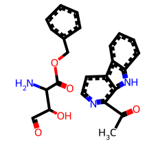 CC(=O)c1nccc2c1[nH]c1ccccc12.NC(C(=O)OCc1ccccc1)C(O)C=O